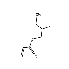 C=CC(=O)OCC(C)[CH]O